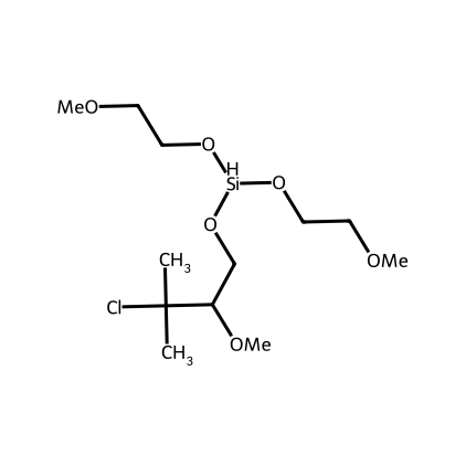 COCCO[SiH](OCCOC)OCC(OC)C(C)(C)Cl